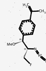 C=C(C)c1ccc([C@@H](OC)[C@@H](CF)N=[N+]=[N-])cc1